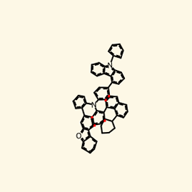 c1ccc(-n2c3ccccc3c3c(-c4ccc(N(c5ccccc5-c5ccc6c(c5)oc5ccccc56)c5ccccc5-c5cccc6cccc(C7CCCCC7)c56)cc4)cccc32)cc1